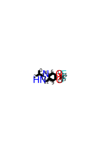 CC(C)C1=Nc2cc3c(cc2CN1)OC(F)(F)O3